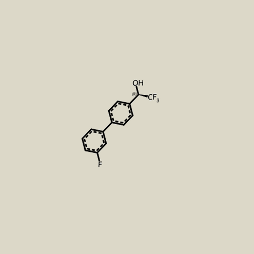 O[C@H](c1ccc(-c2cccc(F)c2)cc1)C(F)(F)F